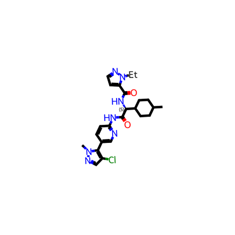 CCn1nccc1C(=O)N[C@H](C(=O)Nc1ccc(-c2c(Cl)cnn2C)cn1)C1CCC(C)CC1